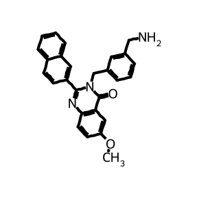 COc1ccc2nc(-c3ccc4ccccc4c3)n(Cc3cccc(CN)c3)c(=O)c2c1